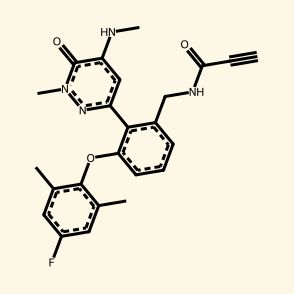 C#CC(=O)NCc1cccc(Oc2c(C)cc(F)cc2C)c1-c1cc(NC)c(=O)n(C)n1